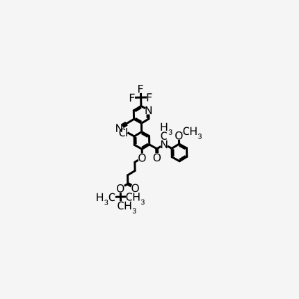 COc1ccccc1N(C)C(=O)c1cc(-c2cnc(C(F)(F)F)cc2C#N)c(Cl)cc1OCCCC(=O)OC(C)(C)C